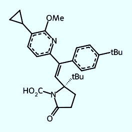 COc1nc(C(=C[C@@]2(C(C)(C)C)CCC(=O)N2C(=O)O)c2ccc(C(C)(C)C)cc2)ccc1C1CC1